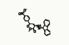 COC(=O)C(=CC(=O)c1ccc([N+](=O)[O-])cc1)NN=C1c2ccccc2-c2ccccc21